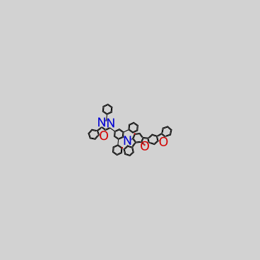 c1ccc(-c2nc(-c3cc(-c4ccccc4)c(-n4c5ccccc5c5c6oc7cc8oc9ccccc9c8cc7c6ccc54)c(-c4ccccc4)c3)c3oc4ccccc4c3n2)cc1